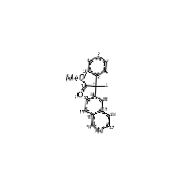 COC(=O)C(C)(c1ccccc1)c1ccc2cnccc2c1